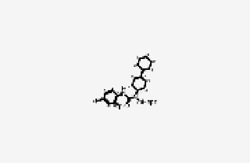 CCCCCCCN(C(=O)Nc1ccc(F)cc1F)C1CCC(C2CCCCC2)CC1